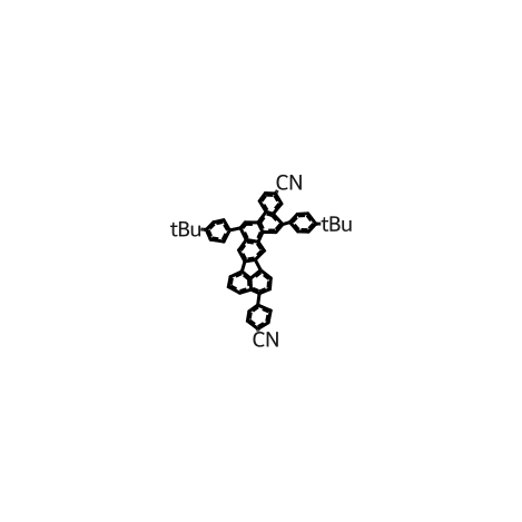 CC(C)(C)c1ccc(-c2cc3c4cc5c(cc4c(-c4ccc(C(C)(C)C)cc4)cc3c3ccc(C#N)cc23)-c2cccc3c(-c4ccc(C#N)cc4)ccc-5c23)cc1